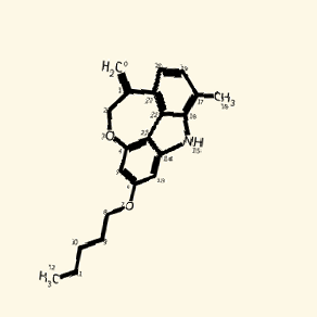 C=C1COc2cc(OCCCCC)cc3[nH]c4c(C)ccc1c4c23